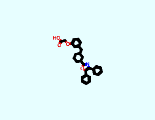 O=C(O)COc1cccc(CC2CCCC(c3nc(-c4ccccc4)c(-c4ccccc4)o3)C2)c1